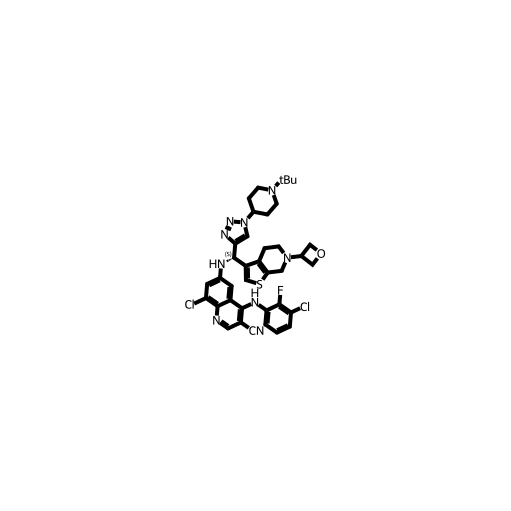 CC(C)(C)N1CCC(n2cc([C@@H](Nc3cc(Cl)c4ncc(C#N)c(Nc5cccc(Cl)c5F)c4c3)c3csc4c3CCN(C3COC3)C4)nn2)CC1